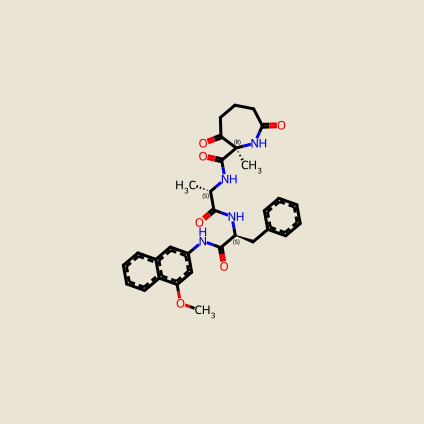 COc1cc(NC(=O)[C@H](Cc2ccccc2)NC(=O)[C@H](C)NC(=O)[C@]2(C)NC(=O)CCCC2=O)cc2ccccc12